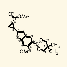 COC(=O)[C@H]1CC1c1cc2cc(B3OCC(C)(C)CO3)c(OC)cc2s1